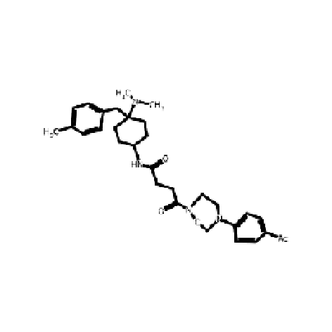 CC(=O)c1ccc(N2CCN(C(=O)CCC(=O)NC3CCC(Cc4ccc(C)cc4)(N(C)C)CC3)CC2)cc1